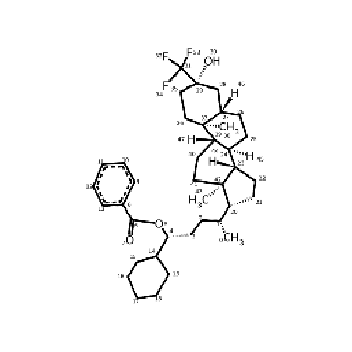 C[C@H](CC[C@@H](OC(=O)c1ccccc1)C1CCCCC1)[C@H]1CC[C@H]2[C@@H]3CC[C@H]4C[C@](O)(C(F)(F)F)CC[C@]4(C)[C@H]3CC[C@]12C